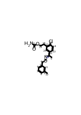 C/C(=N\OCc1cccc(C)c1)c1ccc(Cl)c(CCOC(N)=O)c1